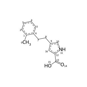 Cc1ccccc1CCc1c[nH]c(C(=O)O)c1